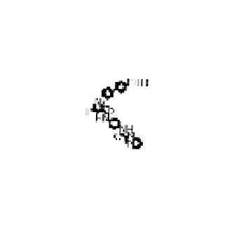 O=Cc1ccc(-c2cccc(Oc3ncc(F)cc3C(=O)NC3CCC(NC(=O)c4cn5cc(F)ccc5n4)CC3)c2)cc1